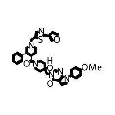 COc1ccc(-n2ccc3c(=O)n(CC4(O)CCN(C(=O)[C@@H]5CCN(Cc6cnc(-c7ccoc7)s6)C[C@H]5c5ccccc5)CC4)cnc32)cc1